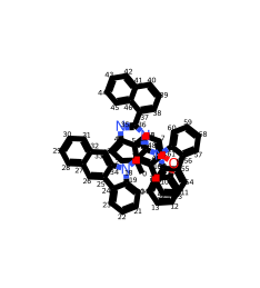 CC1C/C=C(c2ccc3oc4ccccc4c3c2-n2c3ccccc3c3cc4ccccc4cc32)/N=C(c2cccc3ccccc23)\N=C/1n1c2ccccc2c2ccccc21